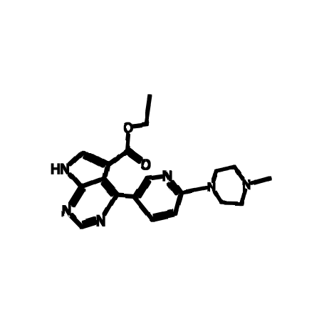 CCOC(=O)c1c[nH]c2ncnc(-c3ccc(N4CCN(C)CC4)nc3)c12